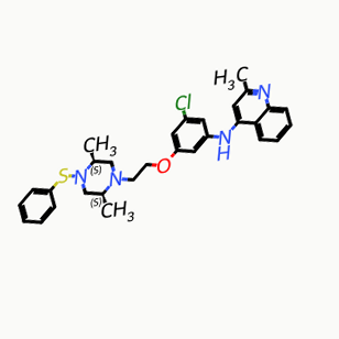 Cc1cc(Nc2cc(Cl)cc(OCCN3C[C@H](C)N(Sc4ccccc4)C[C@@H]3C)c2)c2ccccc2n1